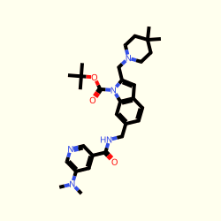 CN(C)c1cncc(C(=O)NCc2ccc3cc(CN4CCC(C)(C)CC4)n(C(=O)OC(C)(C)C)c3c2)c1